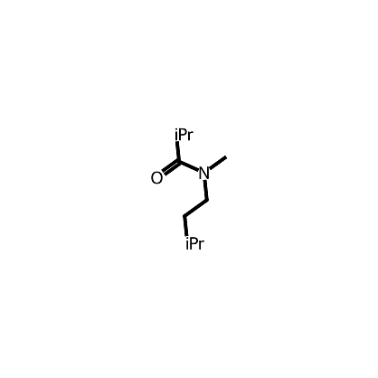 CC(C)CCN(C)C(=O)C(C)C